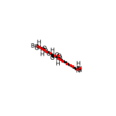 O=C(CBr)NCCNC(=O)COCCOCCNC(=O)CCC(NC(=O)CCCCCCCCCCCCCCCc1nnn[nH]1)C(=O)O